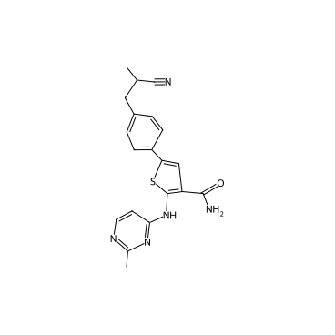 Cc1nccc(Nc2sc(-c3ccc(CC(C)C#N)cc3)cc2C(N)=O)n1